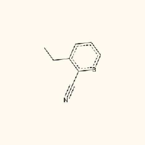 CCc1cccbc1C#N